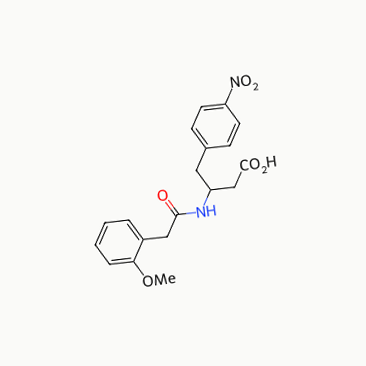 COc1ccccc1CC(=O)NC(CC(=O)O)Cc1ccc([N+](=O)[O-])cc1